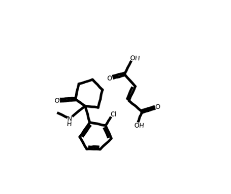 CNC1(c2ccccc2Cl)CCCCC1=O.O=C(O)/C=C/C(=O)O